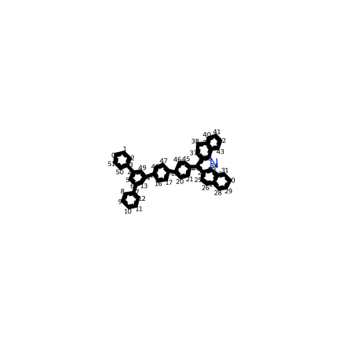 c1ccc(-c2cc(-c3ccccc3)cc(-c3ccc(-c4ccc(-c5c6ccc7ccccc7c6nc6c5ccc5ccccc56)cc4)cc3)c2)cc1